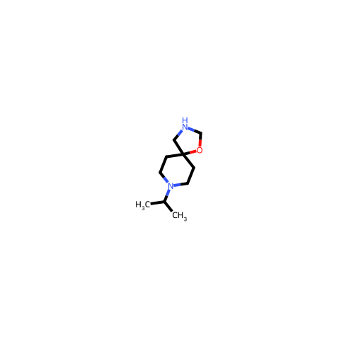 CC(C)N1CCC2(CC1)CNCO2